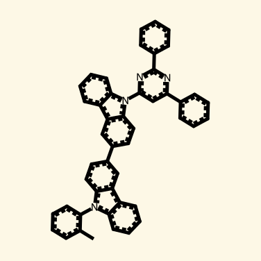 Cc1ccccc1-n1c2ccccc2c2cc(-c3ccc4c(c3)c3ccccc3n4-c3cc(-c4ccccc4)nc(-c4ccccc4)n3)ccc21